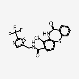 O=C1Nc2c(ccc(C(=O)NCc3cnc(C(F)(F)F)s3)c2Cl)Sc2ccccc21